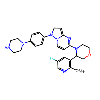 COc1ncc(F)cc1C1COCCN1C1=NC2=CCN(c3ccc(N4CCNCC4)cc3)N2C=C1